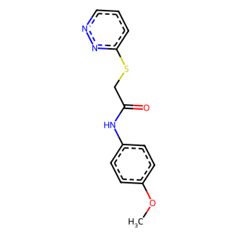 COc1ccc(NC(=O)CSc2cccnn2)cc1